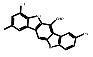 Cc1cc(O)c2[nH]c3c(C=O)c4c(cc3c2c1)[nH]c1ccc(O)cc14